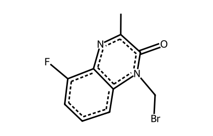 Cc1nc2c(F)cccc2n(CBr)c1=O